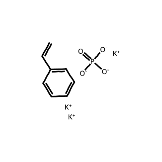 C=Cc1ccccc1.O=P([O-])([O-])[O-].[K+].[K+].[K+]